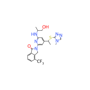 CC(CO)Nc1cc(C(C)Sc2nncn2C)cc(N2Cc3c(cccc3C(F)(F)F)C2=O)n1